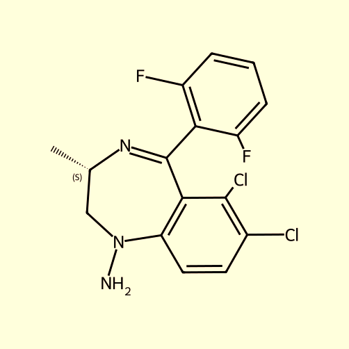 C[C@H]1CN(N)c2ccc(Cl)c(Cl)c2C(c2c(F)cccc2F)=N1